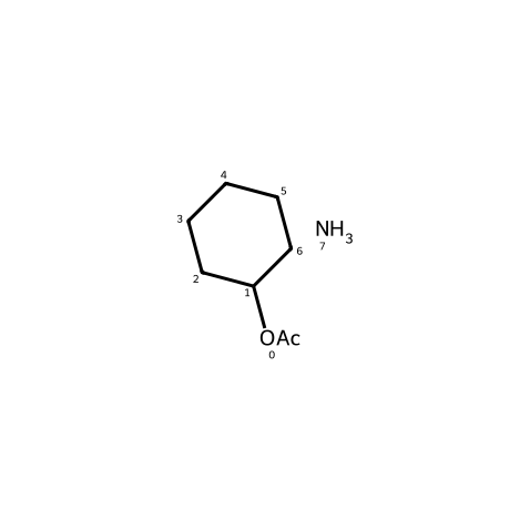 CC(=O)OC1CCCCC1.N